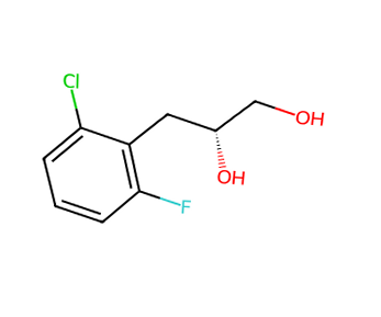 OC[C@H](O)Cc1c(F)cccc1Cl